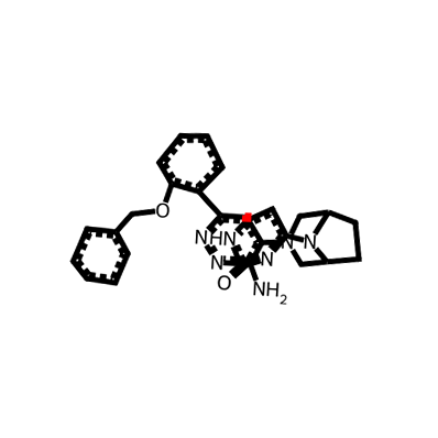 Nc1nnc(-c2ccccc2OCc2ccccc2)cc1N1CC2CCC(C1)N2c1cc[nH]c(=O)n1